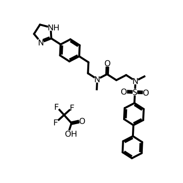 CN(CCc1ccc(C2=NCCN2)cc1)C(=O)CCN(C)S(=O)(=O)c1ccc(-c2ccccc2)cc1.O=C(O)C(F)(F)F